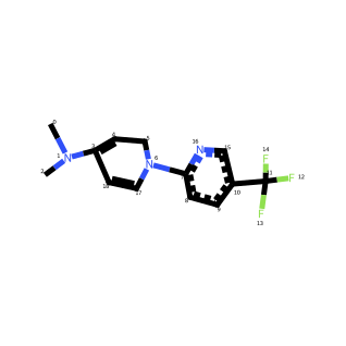 CN(C)C1=CCN(c2ccc(C(F)(F)F)cn2)C=C1